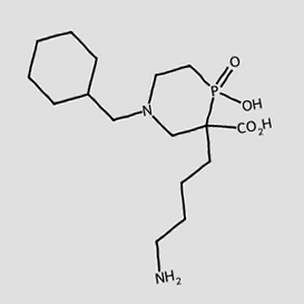 NCCCCC1(C(=O)O)CN(CC2CCCCC2)CCP1(=O)O